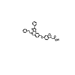 O=C(O)CC1COc2cc(OCc3ccc(CN(CCc4ccccc4)c4nc(-c5ccccc5)cs4)cc3)ccc21